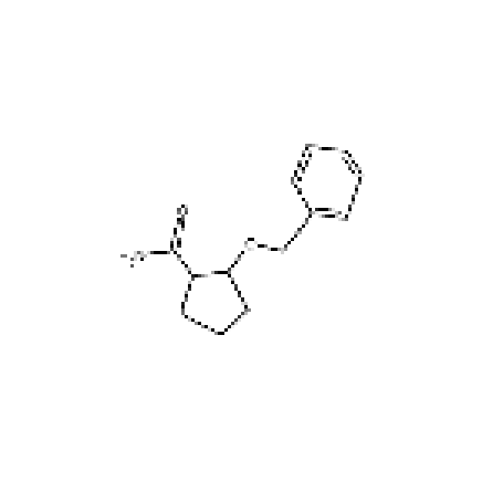 NC(=O)C1CCCC1OCc1ccccc1